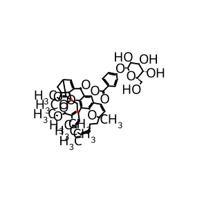 COC(=O)/C(C)=C\CC12OC(C)(C)C3CC(C=C4C(=O)c5c(OC(=O)c6ccc(O[C@@H]7O[C@H](CO)[C@@H](O)[C@@H](O)[C@H]7O)cc6)c6c(c(CC=C(C)C)c5OC431)OC(C)(CCC=C(C)C)C=C6)C2=O